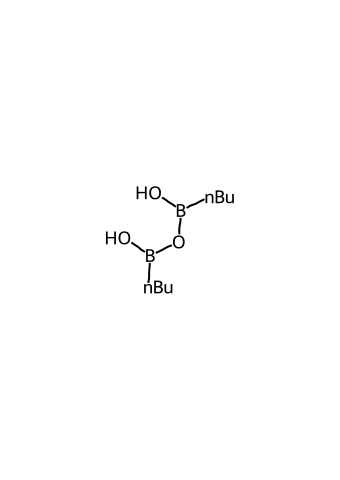 CCCCB(O)OB(O)CCCC